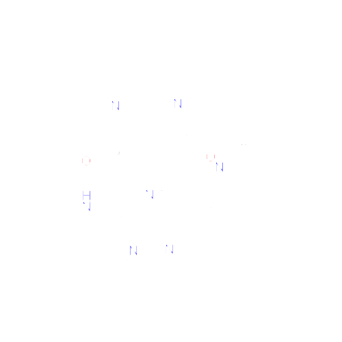 CNc1nnc(-c2ccccn2)n1-c1c(OC)ncnc1OC